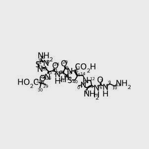 CN1C(N)=C(NC(=O)NCCN)CN1CC1=C(C(=O)O)N2C(=O)[C@@H](NC(=O)C(=NOC(C)(C)C(=O)O)c3nsc(N)n3)[C@H]2SC1